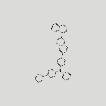 c1ccc(-c2ccc(N(c3ccccc3)c3ccc(-c4ccc5cc(-c6cccc7ccccc67)ccc5c4)cc3)cc2)cc1